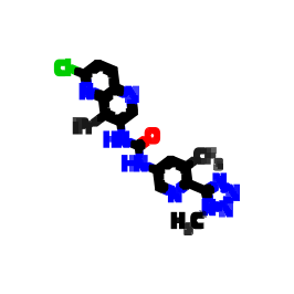 CC(C)c1c(NC(=O)Nc2cnc(-c3nnnn3C)c(C(F)(F)F)c2)cnc2ccc(Cl)nc12